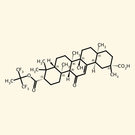 CC1(C)[C@@H](C(=O)OC(C)(C(F)(F)F)C(F)(F)F)CC[C@]2(C)[C@H]3C(=O)C=C4[C@@H]5C[C@@](C)(C(=O)O)CC[C@]5(C)CC[C@@]4(C)[C@]3(C)CC[C@@H]12